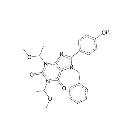 COC(C)n1c(=O)c2c(nc(-c3ccc(O)cc3)n2Cc2ccccc2)n(C(C)OC)c1=O